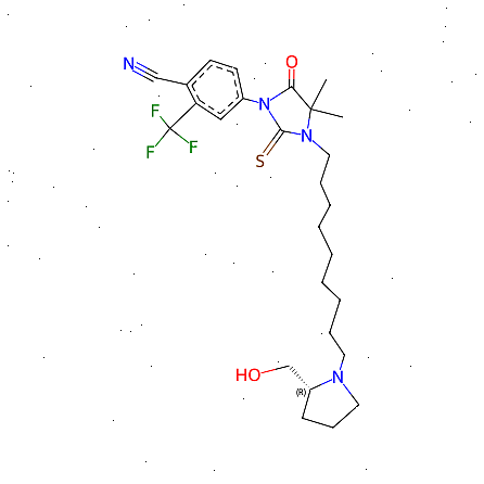 CC1(C)C(=O)N(c2ccc(C#N)c(C(F)(F)F)c2)C(=S)N1CCCCCCCCCN1CCC[C@@H]1CO